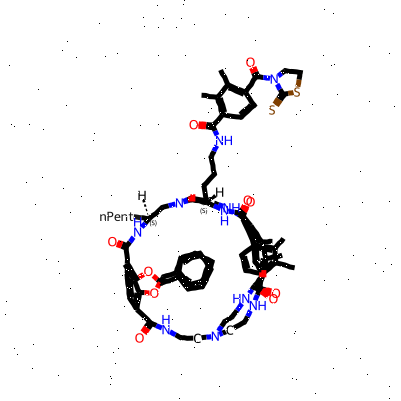 CCCCC[C@H]1CN2CCNC(=O)c3ccc(c(C)c3C)C(=O)NCCN(CCNC(=O)c3ccc(c(C)c3C)C(=O)N[C@@H](CCCNC(=O)c3ccc(C(=O)N4CCSC4=S)c(C)c3C)C2)CCNC(=O)c2ccc(c(OCc3ccccc3)c2OCc2ccccc2)C(=O)N1